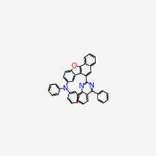 c1ccc(-c2nc(-c3cc4ccccc4c4oc5ccc(N(c6ccccc6)c6ccccc6)cc5c34)nc3ccccc23)cc1